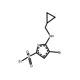 CCS(=O)(=O)c1cc(Br)c(NCC2CC2)s1